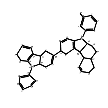 Cc1cccc(N2C3=C(CC(C4=CCC5C(C4)C4=C(CCC=C4)N5c4ccccc4)C=C3)C3C4C=CCCC4CCC32)c1